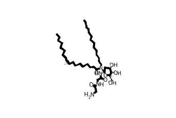 CCCCCCCC/C=C\CCCCCCCC(=O)N(CCCCCCCCCCCCCC)[C@@]1(NC(=O)CNC(=O)CN)C[C@@H](O)[C@H](O)[C@@H](CO)O1